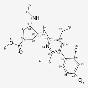 CCN[C@H]1CN(C(=O)OC)C[C@H]1Nc1nc(CC)c(-c2ccc(Cl)cc2Cl)nc1CC